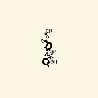 CCOC(=O)c1ccc(NS(=O)(=O)c2cccc(I)c2O)cc1